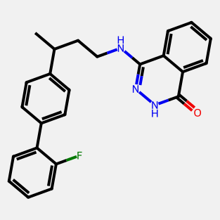 CC(CCNc1n[nH]c(=O)c2ccccc12)c1ccc(-c2ccccc2F)cc1